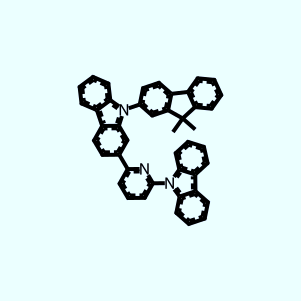 CC1(C)c2ccccc2-c2ccc(-n3c4ccccc4c4ccc(-c5cccc(-n6c7ccccc7c7ccccc76)n5)cc43)cc21